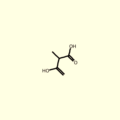 C=C(O)C(C)C(=O)O